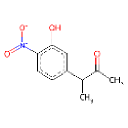 CC(=O)C(C)c1ccc([N+](=O)[O-])c(O)c1